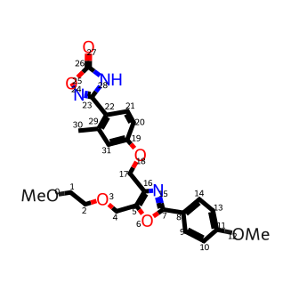 COCCOCc1oc(-c2ccc(OC)cc2)nc1COc1ccc(-c2noc(=O)[nH]2)c(C)c1